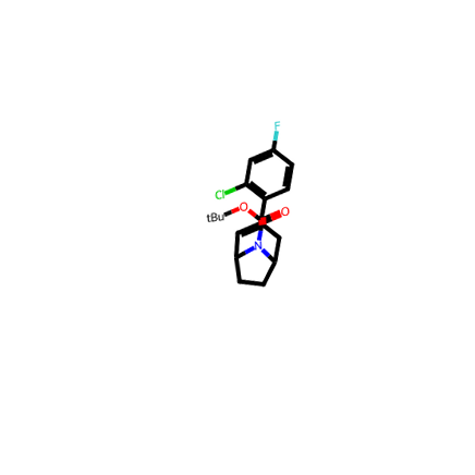 CC(C)(C)OC(=O)N1C2C=C(c3ccc(F)cc3Cl)CC1CC2